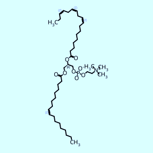 CC/C=C\C/C=C\C/C=C\CCCCCCCC(=O)O[C@H](COC(=O)CCCCCCC/C=C\CCCCCCCC)COP(=O)([O-])OCC[N+](C)(C)C